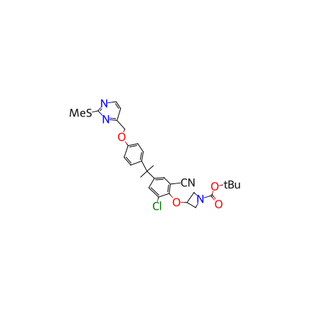 CSc1nccc(COc2ccc(C(C)(C)c3cc(Cl)c(OC4CN(C(=O)OC(C)(C)C)C4)c(C#N)c3)cc2)n1